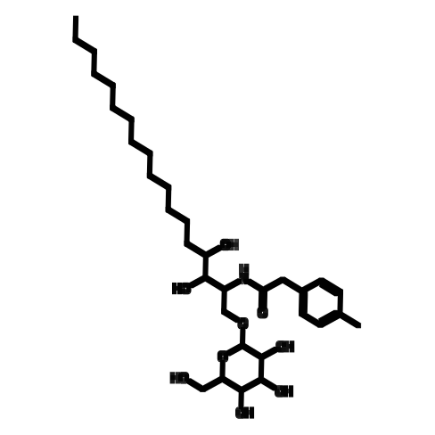 CCCCCCCCCCCCCCC(O)C(O)C(COC1OC(CO)C(O)C(O)C1O)NC(=O)Cc1ccc(C)cc1